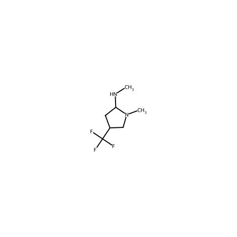 CNC1CC(C(F)(F)F)CN1C